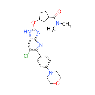 CN(C)C(=O)C1CCC(Oc2nc3nc(-c4ccc(N5CCOCC5)cc4)c(Cl)cc3[nH]2)C1